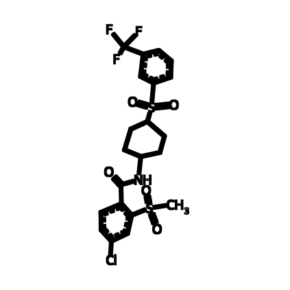 CS(=O)(=O)c1cc(Cl)ccc1C(=O)NC1CCC(S(=O)(=O)c2cccc(C(F)(F)F)c2)CC1